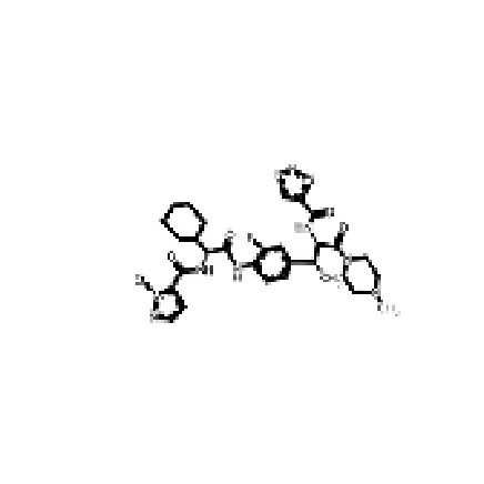 CCn1nccc1C(=O)N[C@H](C(=O)Nc1ccc([C@H](C)[C@@H](NC(=O)c2cnns2)C(=O)N2CCN(C)CC2)cc1F)C1CCCCC1